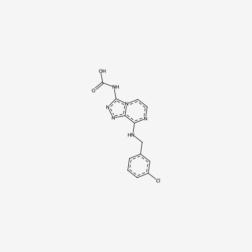 O=C(O)Nc1nnc2c(NCc3cccc(Cl)c3)nccn12